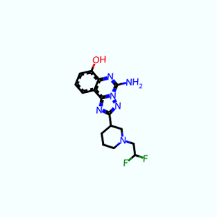 Nc1nc2c(O)cccc2c2nc(C3CCCN(CC(F)F)C3)nn12